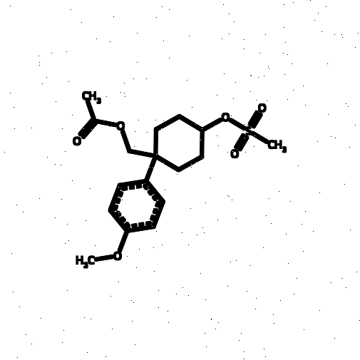 COc1ccc(C2(COC(C)=O)CCC(OS(C)(=O)=O)CC2)cc1